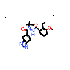 CCc1c(OC)cccc1C(=O)NN(C(=O)c1ccc2nc[nH]c2c1)C(C)(C)C